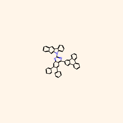 c1ccc(-c2cc3nc(-n4c5ccccc5c5cc6ccccc6cc54)nc(-c4ccc5c6ccccc6c6ccccc6c5c4)c3cc2-c2ccccc2)cc1